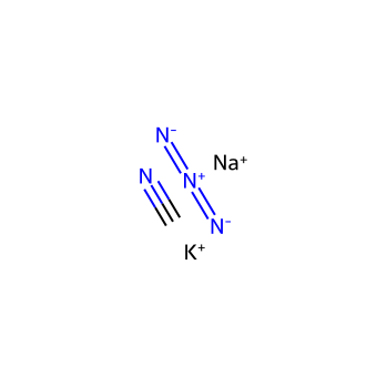 C#N.[K+].[N-]=[N+]=[N-].[Na+]